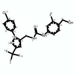 O=C(NCc1cc(C(F)(F)F)nn1-c1ccc(Cl)cc1)Nc1ccc(CO)c(F)c1